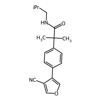 CC(C)CNC(=O)C(C)(C)c1ccc(-c2cocc2C#N)cc1